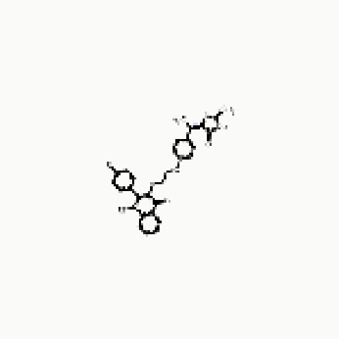 C=c1[nH]c(=O)/c(=C(/C)c2ccc(OCCOc3c(-c4ccc(F)cc4)n(CC)c4ccccc4c3=O)cc2)s1